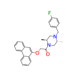 C[C@@H]1CN(C(=O)COc2cc3ccccc3c3ccccc23)[C@@H](C)CN1Cc1ccc(F)cc1